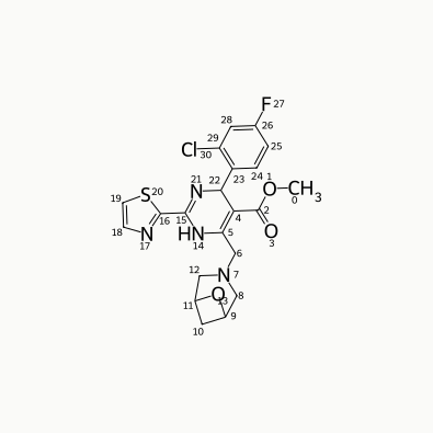 COC(=O)C1=C(CN2CC3CC(C2)O3)NC(c2nccs2)=NC1c1ccc(F)cc1Cl